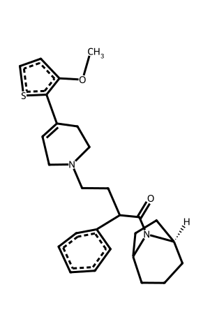 COc1ccsc1C1=CCN(CCC(C(=O)N2C3CCC[C@@H]2CC3)c2ccccc2)CC1